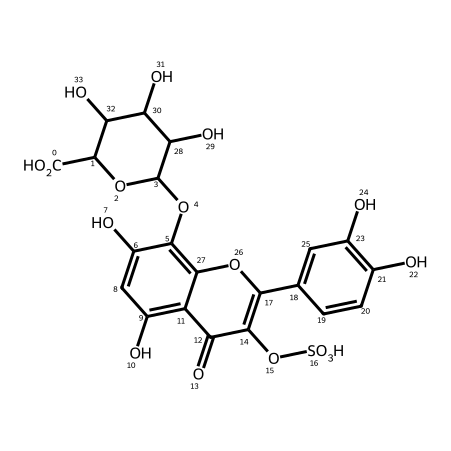 O=C(O)C1OC(Oc2c(O)cc(O)c3c(=O)c(OS(=O)(=O)O)c(-c4ccc(O)c(O)c4)oc23)C(O)C(O)C1O